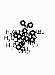 Cc1cc2c3c(c1)N(c1ccc(C(C)(C)C)c4sc5ccccc5c14)c1cc(N(c4ccccc4)c4ccccc4)ccc1B3c1cc3c(cc1N2c1cc2c(cc1C)C(C)(C)CCC2(C)C)C(C)(C)CC3(C)C